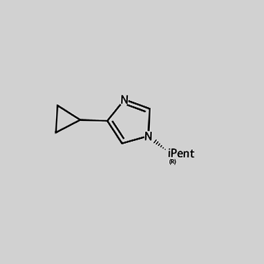 CCC[C@@H](C)n1cnc(C2CC2)c1